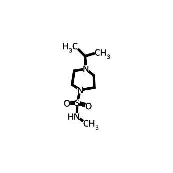 CNS(=O)(=O)N1CCN(C(C)C)CC1